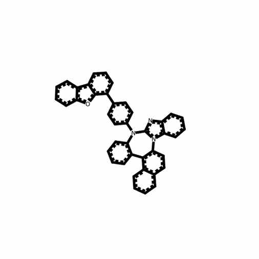 c1ccc2c(c1)-c1c(ccc3ccccc13)-n1c(nc3ccccc31)N2c1ccc(-c2cccc3c2oc2ccccc23)cc1